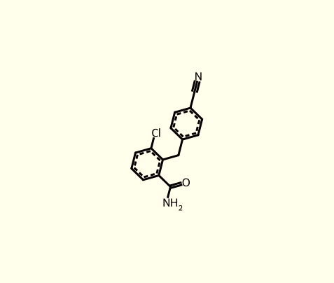 N#Cc1ccc(Cc2c(Cl)cccc2C(N)=O)cc1